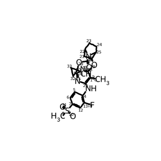 Cc1c(Nc2ccc(S(C)(=O)=O)cc2F)ncnc1OC1CC2CCC1N2C(=O)OC1(C)CC1